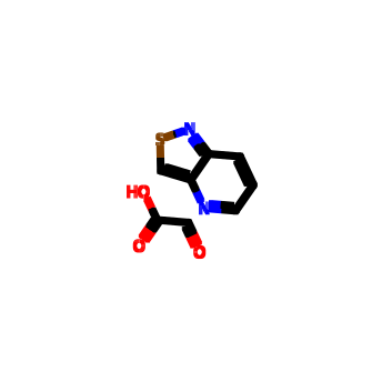 O=CC(=O)O.c1cnc2csnc2c1